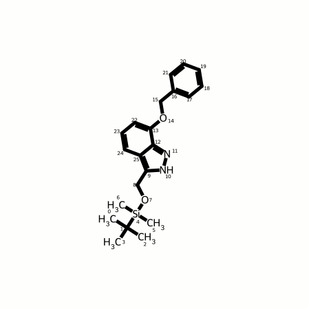 CC(C)(C)[Si](C)(C)OCc1[nH]nc2c(OCc3ccccc3)cccc12